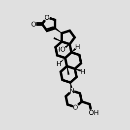 C[C@]12CC[C@H](N3CCOC(CO)C3)C[C@H]1CC[C@@H]1[C@@H]2CC[C@]2(C)[C@@H](C3=CC(=O)OC3)CC[C@]12O